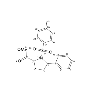 COC(=O)C1CCC(c2ccccc2)N1S(=O)(=O)c1ccc(C)cc1